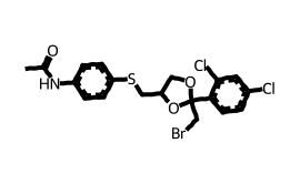 CC(=O)Nc1ccc(SCC2COC(CBr)(c3ccc(Cl)cc3Cl)O2)cc1